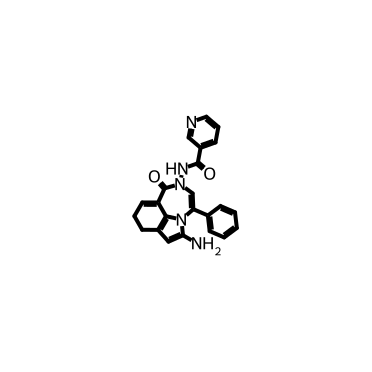 Nc1cc2c3n1C(c1ccccc1)=CN(NC(=O)c1cccnc1)C(=O)C3=CCC2